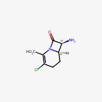 N[C@@H]1C(=O)N2C(C(=O)O)=C(Cl)CC[C@H]12